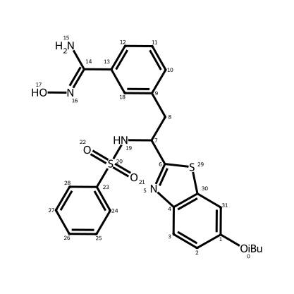 CC(C)COc1ccc2nc(C(Cc3cccc(C(N)=NO)c3)NS(=O)(=O)c3ccccc3)sc2c1